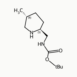 C[C@@H]1CC[C@@H](CNC(=O)OC(C)(C)C)NC1